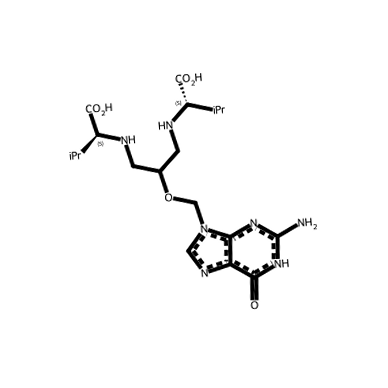 CC(C)[C@H](NCC(CN[C@H](C(=O)O)C(C)C)OCn1cnc2c(=O)[nH]c(N)nc21)C(=O)O